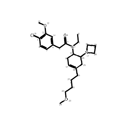 CCN(C(=O)Cc1ccc(Cl)c(OC)c1)C1CC=C(CCCCOC)CC1N1CCC1